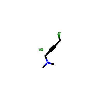 CN(C)CC#CCCl.Cl